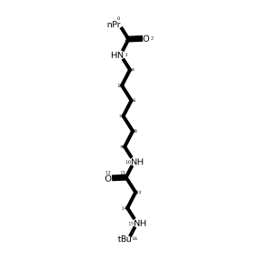 CCCC(=O)NCCCCCCNC(=O)CCNC(C)(C)C